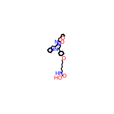 O=C(O)NCCCCCCOc1ccc(-c2cn3c(=O)c(Cc4ccco4)nc-3c(Cc3ccccc3)[nH]2)cc1